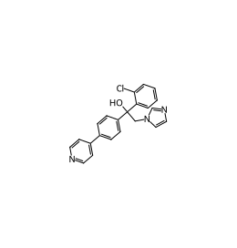 OC(Cn1ccnc1)(c1ccc(-c2ccncc2)cc1)c1ccccc1Cl